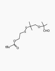 CC(C)(C=O)OCC(C)(C)SSCCOC(=O)C(C)(C)C